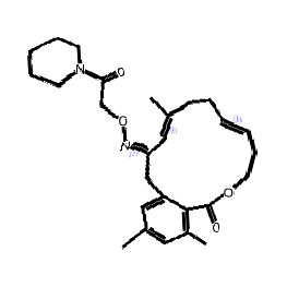 C/C1=C\C(=N/OCC(=O)N2CCCCC2)Cc2cc(C)cc(C)c2C(=O)OCC/C=C/CC1